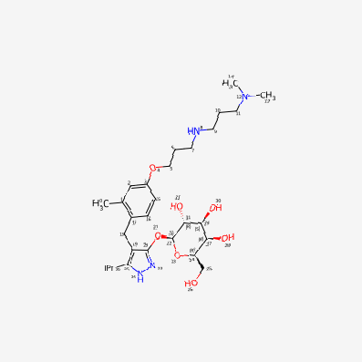 Cc1cc(OCCCNCCCN(C)C)ccc1Cc1c(O[C@@H]2O[C@H](CO)[C@H](O)[C@H](O)[C@H]2O)n[nH]c1C(C)C